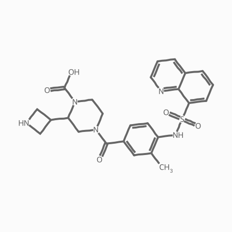 Cc1cc(C(=O)N2CCN(C(=O)O)C(C3CNC3)C2)ccc1NS(=O)(=O)c1cccc2cccnc12